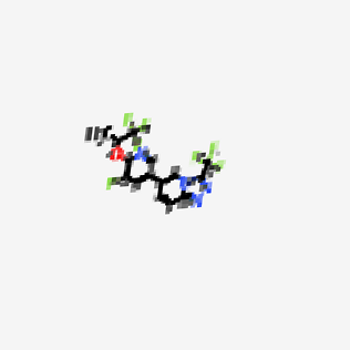 C[C@H](Oc1ncc(-c2ccc3nnc(C(F)(F)F)n3c2)cc1F)C(F)(F)F